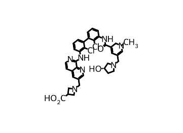 CN1C=C(CN2CC[C@@H](O)C2)C=C(C(=O)Nc2cccc(-c3cccc(Nc4nccc5cc(CN6CC(C(=O)O)C6)cnc45)c3Cl)c2Cl)C1